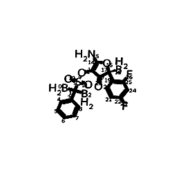 BC(B)(c1ccccc1)S(=O)(=O)OC1=C(N)O[C@](B)(c2ccc(F)cc2F)C1=O